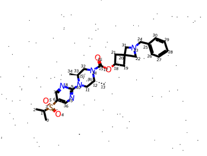 CC(C)S(=O)(=O)c1cnc(N2C[C@@H](C)N(C(=O)OC3CC4(C3)CN(Cc3ccccc3)C4)C[C@@H]2C)nc1